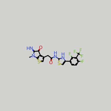 CN1C(=N)C(=O)c2c(CC(=O)NC3NC(c4ccc(F)c(C(F)(F)F)c4F)=CS3)csc21